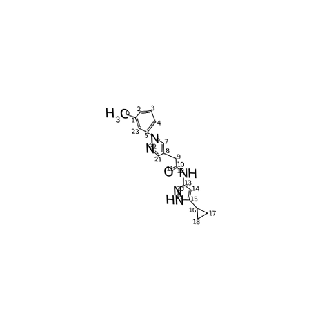 Cc1cccc(-n2cc(CC(=O)Nc3cc(C4CC4)[nH]n3)cn2)c1